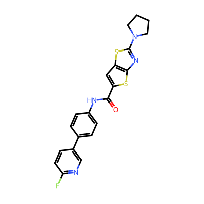 O=C(Nc1ccc(-c2ccc(F)nc2)cc1)c1cc2sc(N3CCCC3)nc2s1